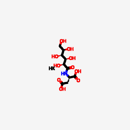 O=C(O)C[C@H](NC(=O)[C@H](O)[C@@H](O)[C@H](O)[C@H](O)CO)C(=O)O.[KH]